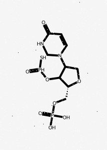 O=C1C=CN(C2CO[C@H](COP(=O)(O)O)C2O[PH](=O)S)CN1